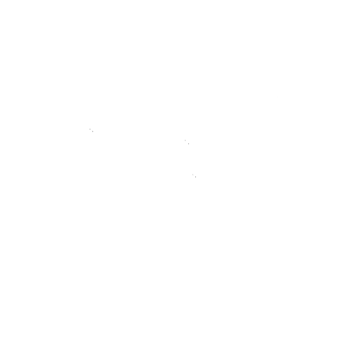 Cc1ccccc1-c1ccc2c3c(ccc(C#N)c13)-c1nc3cc(-c4ccccc4)cc(-c4ccccc4)c3n1COC2